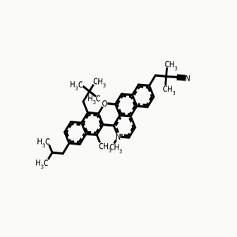 Cc1c2c(c(CC(C)(C)C)c3ccc(CC(C)C)cc13)Oc1cc3cc(CC(C)(C)C#N)ccc3c3cc[n+](C)c-2c13